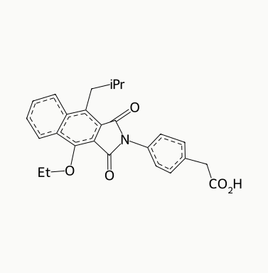 CCOc1c2c(c(CC(C)C)c3ccccc13)C(=O)N(c1ccc(CC(=O)O)cc1)C2=O